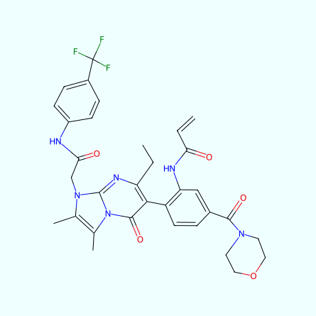 C=CC(=O)Nc1cc(C(=O)N2CCOCC2)ccc1-c1c(CC)nc2n(CC(=O)Nc3ccc(C(F)(F)F)cc3)c(C)c(C)n2c1=O